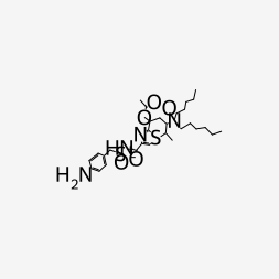 CCCCCCN(C(=O)CCCC)C(CC(OC(C)=O)c1nc(C(=O)N[S+]([O-])Cc2ccc(N)cc2)cs1)C(C)C